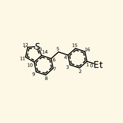 CCc1ccc(Cc2cccc3c[c]sc23)cc1